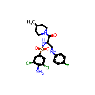 CC1CCN(C(=O)C(CNc2ccc(F)cc2)NS(=O)(=O)c2cc(Cl)c(N)c(Cl)c2)CC1